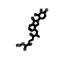 CN(Cc1cccc2c1CN(C1CCC(=O)NC1=O)C2=O)C(=O)CCNC(=O)OC(C)(C)C